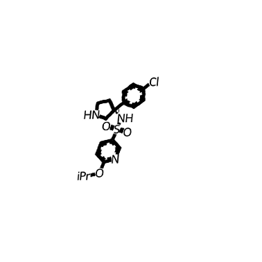 CC(C)Oc1ccc(S(=O)(=O)N[C@@]2(c3ccc(Cl)cc3)CCNC2)cn1